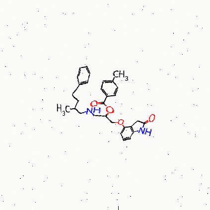 Cc1ccc(C(=O)OC(CNCC(C)CCc2ccccc2)COc2cccc3c2CC(=O)N3)cc1